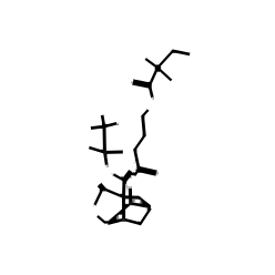 CCC(C)(C)C(=O)OCCCC(=O)OC1C2CC3C1OC(=O)C3(C(=O)OC(C)(C)C(F)(F)F)C2